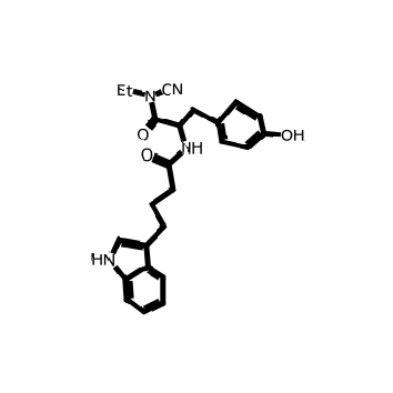 CCN(C#N)C(=O)C(Cc1ccc(O)cc1)NC(=O)CCCc1c[nH]c2ccccc12